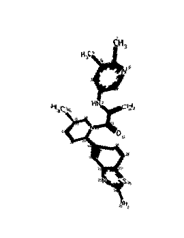 C=C(Nc1cnc(C)c(C)c1)C(=O)N1C[C@H](C)CCC1C1=Cc2nc(N)sc2CC1